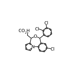 O=C(O)CC1OC(c2cccc(Cl)c2Cl)c2cc(Cl)ccc2-n2cccc21